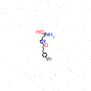 CC(C)c1ccc(CCCC(=O)c2ccc(CCC(C)(N)CO)n2C)cc1